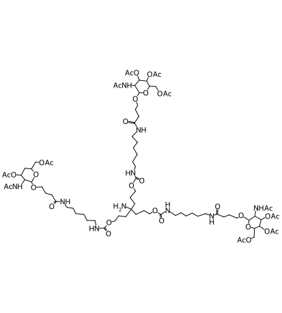 CC(=O)NC1C(OC(C)=O)CC(COC(C)=O)OC1OCCCC(=O)NCCCCCCNC(=O)OCCCC(N)(CCCOC(=O)NCCCCCCNC(=O)CCCOC1OC(COC(C)=O)C(OC(C)=O)C(OC(C)=O)C1NC(C)=O)CCCOC(=O)NCCCCCCNC(=O)CCCOC1OC(COC(C)=O)C(OC(C)=O)C(OC(C)=O)C1NC(C)=O